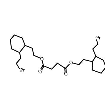 CC(C)CCC1CCCCC1CCOC(=O)CCC(=O)OCCC1CCCCC1CCC(C)C